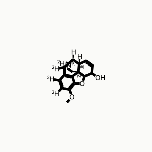 [2H]c1c([2H])c2c3c(c1OC)OC1C(O)C=C[C@H]4[C@H](N(C)CC[C@]314)C2([2H])[2H]